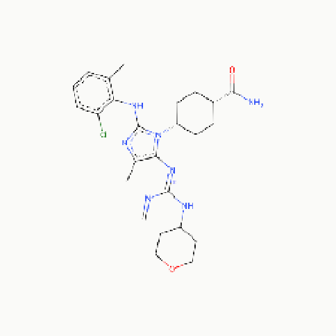 C=N/C(=N\c1c(C)nc(Nc2c(C)cccc2Cl)n1[C@H]1CC[C@@H](C(N)=O)CC1)NC1CCOCC1